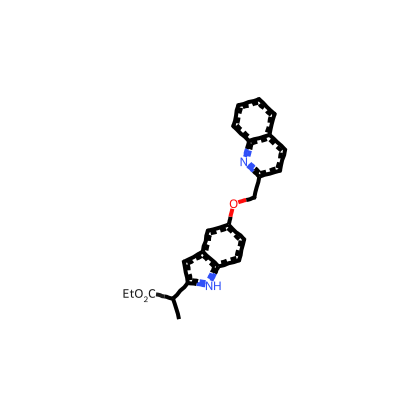 CCOC(=O)C(C)c1cc2cc(OCc3ccc4ccccc4n3)ccc2[nH]1